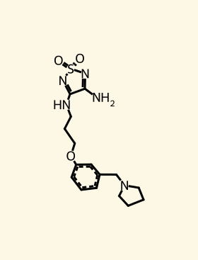 NC1=NS(=O)(=O)N=C1NCCCOc1cccc(CN2CCCC2)c1